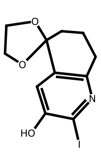 Oc1cc2c(nc1I)CCCC21OCCO1